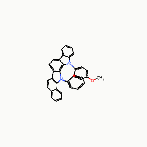 COc1ccc(-n2c3ccccc3c3ccc4c5ccc6ccccc6c5n(-c5ccccc5)c4c32)cc1